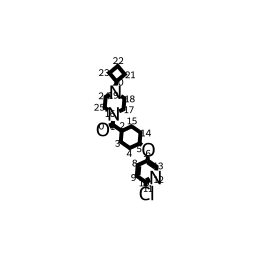 O=C(C1CCC(Oc2ccc(Cl)nc2)CC1)N1CCN(C2CCC2)CC1